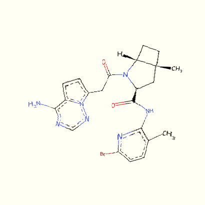 Cc1ccc(Br)nc1NC(=O)[C@@H]1C[C@@]2(C)CC[C@H]2N1C(=O)Cc1ccc2c(N)ncnn12